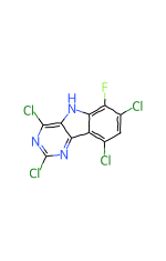 Fc1c(Cl)cc(Cl)c2c1[nH]c1c(Cl)nc(Cl)nc12